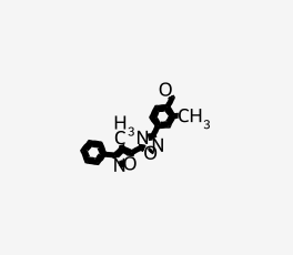 Cc1cc(-c2noc(-c3onc(-c4ccccc4)c3C)n2)ccc1C=O